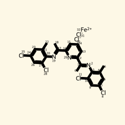 CC(=Nc1c(C)cc(Cl)cc1Cl)c1cccc(C(C)=Nc2c(C)cc(Cl)cc2Cl)n1.[Cl-].[Cl-].[Fe+2]